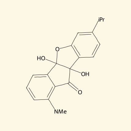 CNc1cccc2c1C(=O)C1(O)c3ccc(C(C)C)cc3OC21O